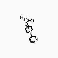 CC(=O)ON1CCN(c2cccnc2)CC1